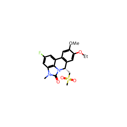 CCOc1cc2c(cc1OC)-c1cc(F)cc3c1n(c(=O)n3C)[C@H]2CS(C)(=O)=O